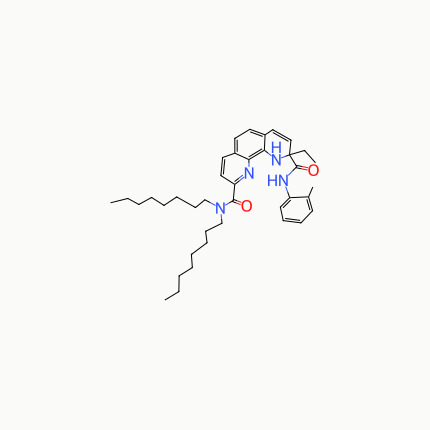 CCCCCCCCN(CCCCCCCC)C(=O)c1ccc2ccc3c(c2n1)NC(CC)(C(=O)Nc1ccccc1C)C=C3